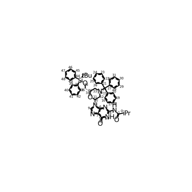 CC(C)C(=O)Nc1nc2c(ncn2[C@H]2CN(C(c3ccccc3)(c3ccccc3)c3ccccc3)C[C@@H](CO[Si](c3ccccc3)(c3ccccc3)C(C)(C)C)O2)c(=O)[nH]1